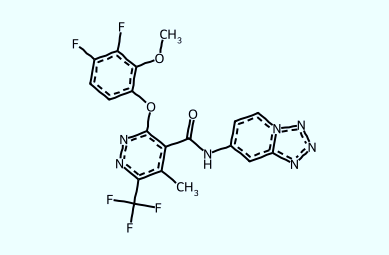 COc1c(Oc2nnc(C(F)(F)F)c(C)c2C(=O)Nc2ccn3nnnc3c2)ccc(F)c1F